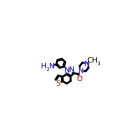 CN1CCN(C(=O)c2nn(-c3cccc(N)c3)c3c2CCc2sccc2-3)CC1